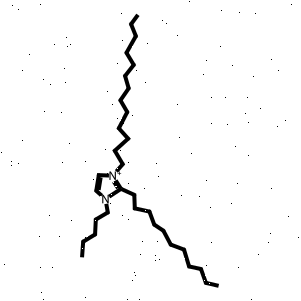 CCCCCCCCCCCCC[n+]1ccn(CCCCC)c1CCCCCCCCCCC